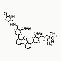 COc1nc(-c2cccc(-c3cccc(-c4cnc(CNCC(C)(C)O)c(OC)n4)c3Cl)c2Cl)cnc1CNCC1CCC(=O)N1